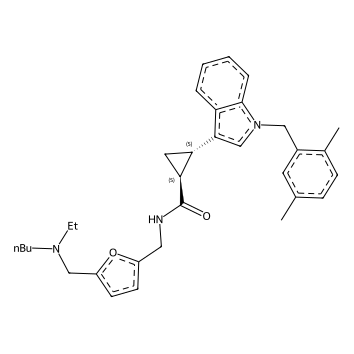 CCCCN(CC)Cc1ccc(CNC(=O)[C@H]2C[C@@H]2c2cn(Cc3cc(C)ccc3C)c3ccccc23)o1